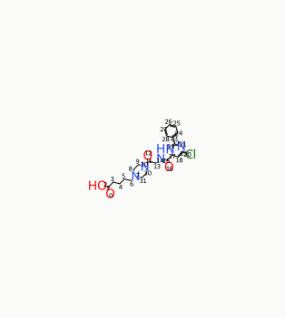 O=C(O)CCCCN1CCN(C(=O)CNC(=O)c2cc(Cl)nc(-c3ccccc3)n2)CC1